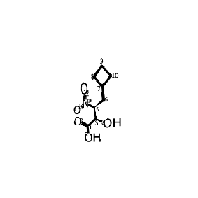 O=C(O)[C@H](O)[C@H](CC1CCC1)[N+](=O)[O-]